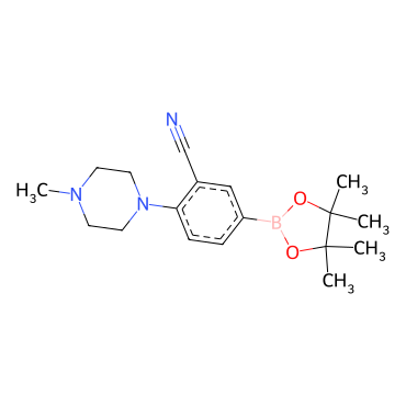 CN1CCN(c2ccc(B3OC(C)(C)C(C)(C)O3)cc2C#N)CC1